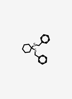 c1ccc(CSC2(SCc3ccccc3)CCCCC2)cc1